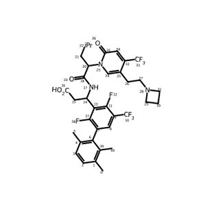 Cc1ccc(C)c(-c2cc(C(F)(F)F)c(F)c(C(CC(=O)O)NC(=O)C(CC(C)C)n3cc(CCN4CCC4)c(C(F)(F)F)cc3=O)c2F)c1C